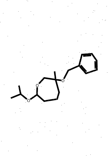 CC(C)OC1CCCC(C)(OCc2ccccc2)CO1